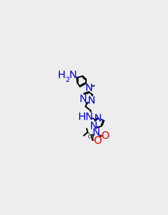 CC(C)[C@H]1COC(=O)N1c1ccnc(NCCc2ncc(N(C)c3ccc(N)cc3)cn2)n1